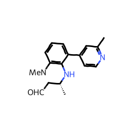 CNc1cccc(-c2ccnc(C)c2)c1N[C@H](C)CC=O